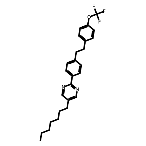 CCCCCCCc1cnc(-c2ccc(CCc3ccc(OC(F)(F)F)cc3)cc2)nc1